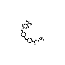 CC(OC(=O)N1CCC(OC2CCC(Oc3cnc(S(C)(=O)=O)cn3)CC2)CC1)C(F)(F)F